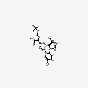 COC(=O)C(CCOC(C)(C)C)N1CON(c2cc(Cl)ccc2-n2cc(Cl)nn2)CO1